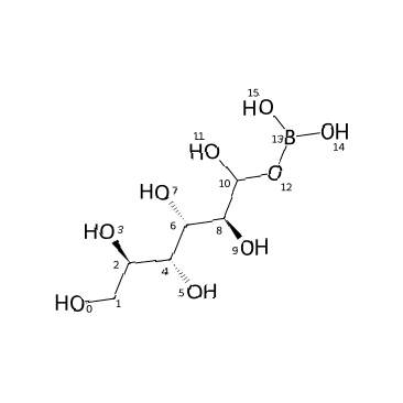 OC[C@@H](O)[C@@H](O)[C@H](O)[C@H](O)C(O)OB(O)O